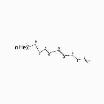 C=CCCC=CCCCCCCCCCC